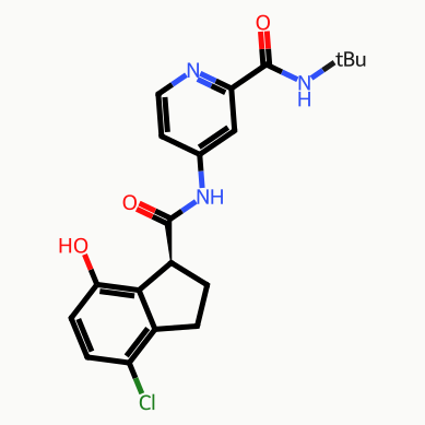 CC(C)(C)NC(=O)c1cc(NC(=O)[C@H]2CCc3c(Cl)ccc(O)c32)ccn1